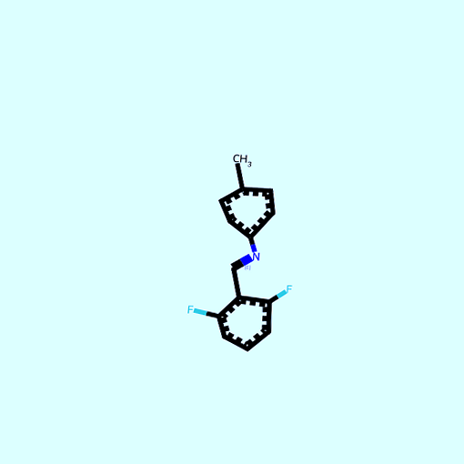 Cc1ccc(/N=C/c2c(F)cccc2F)cc1